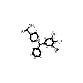 NC(=O)c1cc[n+](C(c2cc[c]cc2)c2cc(O)c(O)c(O)c2)cc1